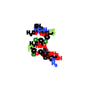 CCOc1cc(Oc2ccc(C(F)(F)F)cc2Cl)ccc1[N+](=O)[O-].COc1c(Cl)ccc(Cl)c1C(=O)O.COc1nc(C)nc(NC(=O)NS(=O)(=O)c2ccccc2CCC(F)(F)F)n1.CP(=O)(O)CCC(N)C(=O)O